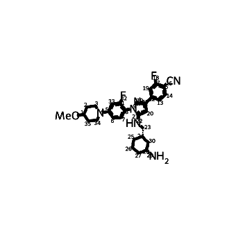 COC1CCN(c2ccc(-n3nc(-c4ccc(C#N)c(F)c4)cc3NC[C@H]3CCC[C@H](N)C3)c(F)c2)CC1